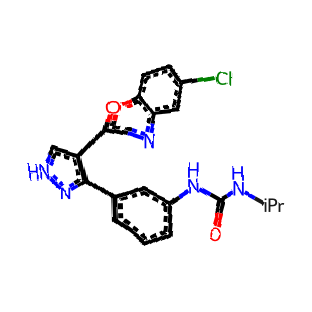 CC(C)NC(=O)Nc1cccc(-c2n[nH]cc2-c2nc3cc(Cl)ccc3o2)c1